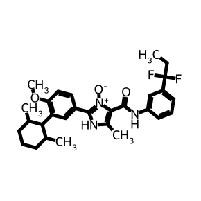 CCC(F)(F)c1cccc(NC(=O)c2c(C)[nH]c(-c3ccc(OC)c(C4C(C)CCCC4C)c3)[n+]2[O-])c1